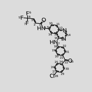 O=C(C=CC(F)(F)F)Nc1ccc2ncnc(Nc3ccc(C(=O)c4ccc(Cl)cc4)cc3)c2c1